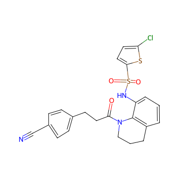 N#Cc1ccc(CCC(=O)N2CCCc3cccc(NS(=O)(=O)c4ccc(Cl)s4)c32)cc1